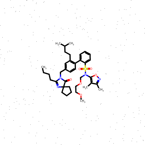 CCCCC1=NC2(CCCC2)C(=O)N1Cc1ccc(-c2ccccc2S(=O)(=O)N(COCCOC)c2onc(C)c2C)c(CCC(C)C)c1